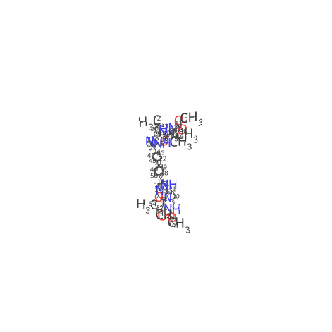 COC(=O)NC(C(=O)N1CCC[C@H]1c1ncc(-c2ccc(-c3ccc(-c4cnc([C@@H]5C=C(C)CN5C(=O)[C@H](NC(=O)OC)C(C)C)[nH]4)cc3)cc2)[nH]1)C(C)C